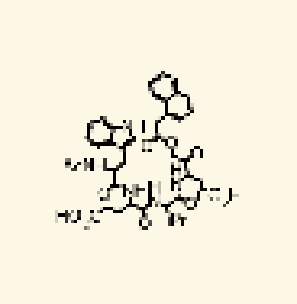 CC(=O)NC(Cc1c[nH]c2ccccc12)C(=O)NC(CCC(=O)O)C(=O)NC(C(=O)NC(CC(=O)O)C(=O)COC(=O)Cc1cccc2ccccc12)C(C)C